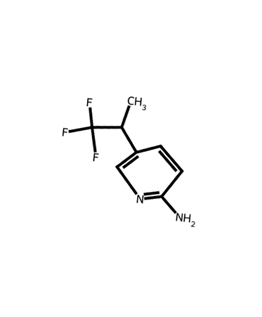 CC(c1ccc(N)nc1)C(F)(F)F